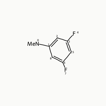 CNc1cc(F)[c]c(F)c1